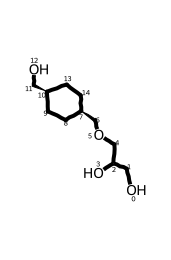 OCC(O)COC[C@H]1CC[C@@H](CO)CC1